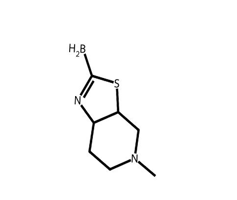 BC1=NC2CCN(C)CC2S1